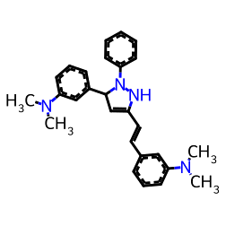 CN(C)c1cccc(C=CC2=CC(c3cccc(N(C)C)c3)N(c3ccccc3)N2)c1